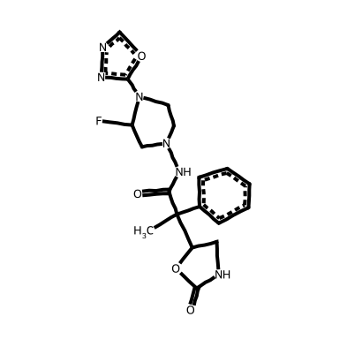 CC(C(=O)NN1CCN(c2nnco2)C(F)C1)(c1ccccc1)C1CNC(=O)O1